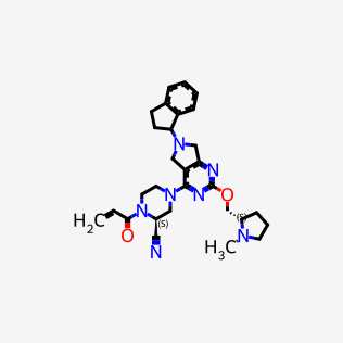 C=CC(=O)N1CCN(c2nc(OC[C@@H]3CCCN3C)nc3c2CN(C2CCc4ccccc42)C3)C[C@H]1C#N